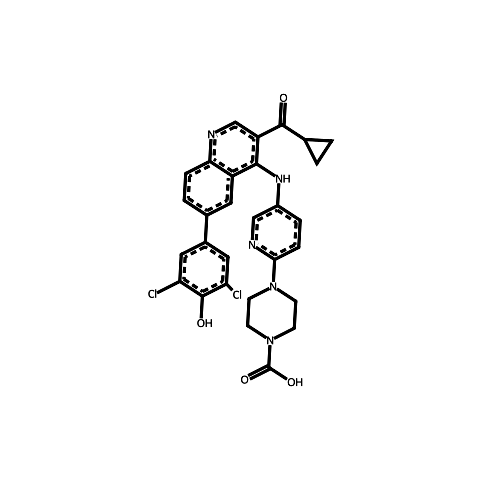 O=C(c1cnc2ccc(-c3cc(Cl)c(O)c(Cl)c3)cc2c1Nc1ccc(N2CCN(C(=O)O)CC2)nc1)C1CC1